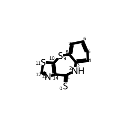 S=C1Nc2ccccc2Sc2scnc21